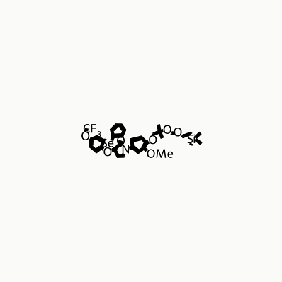 COc1cc(N2CCC(Oc3ccc(OC(F)(F)F)cc3)([Se]c3ccccc3)C2=O)ccc1OCC(C)(C)OCOCC[Si](C)(C)C